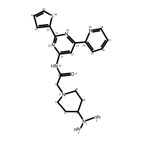 CCCN(CCC)C1CCN(CC(=O)Nc2cc(-c3ccccn3)nc(-c3cccs3)n2)CC1